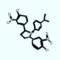 CC(C)c1ccc(N2C(c3ccc(Cl)c([N+](=O)[O-])c3)CCC2c2ccc(Cl)c([N+](=O)[O-])c2)cc1